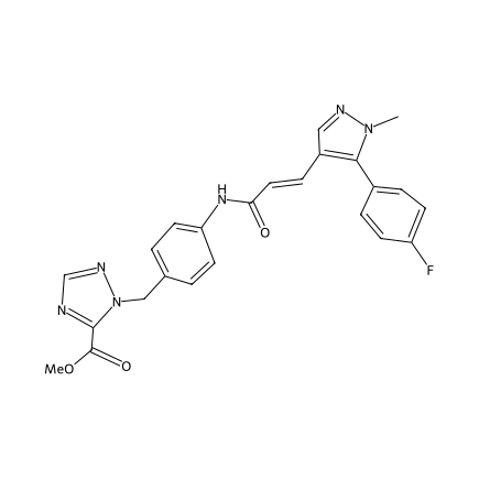 COC(=O)c1ncnn1Cc1ccc(NC(=O)C=Cc2cnn(C)c2-c2ccc(F)cc2)cc1